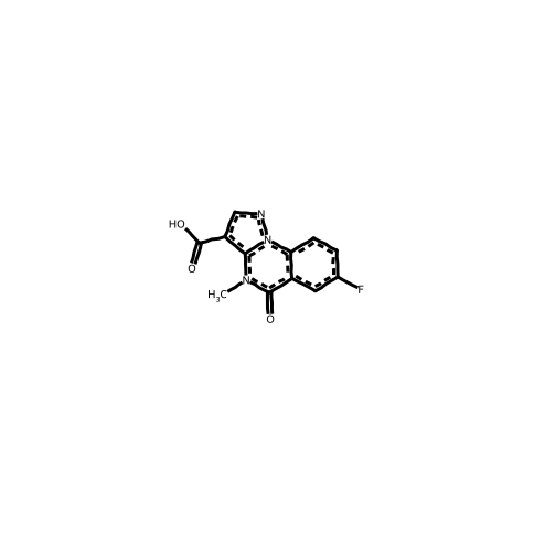 Cn1c(=O)c2cc(F)ccc2n2ncc(C(=O)O)c12